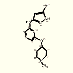 CCCc1cc(Nc2cncc(OC3CCN(C)CC3)n2)n[nH]1